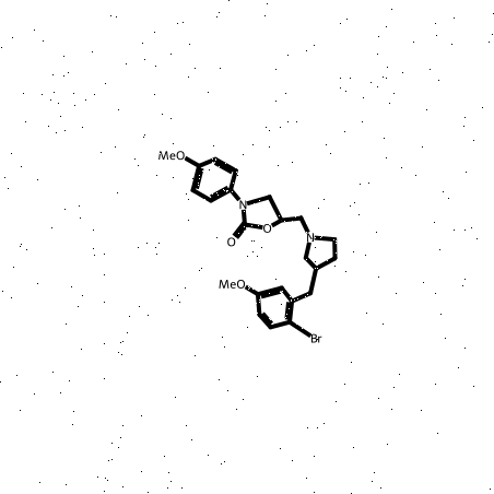 COc1ccc(N2CC(CN3CCC(Cc4cc(OC)ccc4Br)C3)OC2=O)cc1